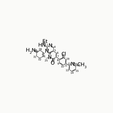 CCNc1ncc2cc(-c3ccc(-c4cccc(C)n4)cc3Cl)c(=O)n(C[C@H]3CC[C@H](N)CC3)c2n1